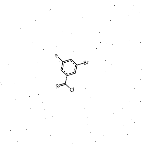 Fc1cc(Br)cc(C(=S)Cl)c1